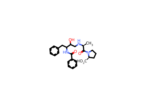 C[C@H](NCC(O)C(Cc1ccccc1)NC(=O)c1ccccc1)C(=O)N1CCC[C@H]1C(=O)O